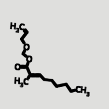 C=CCOCOC(=O)C(C)=CCCCCCC